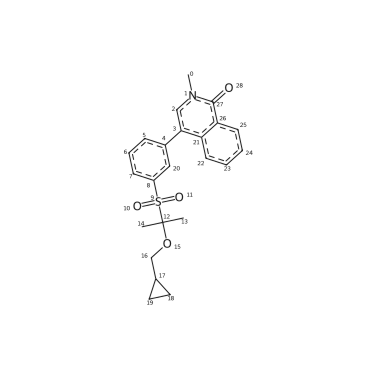 Cn1cc(-c2cccc(S(=O)(=O)C(C)(C)OCC3CC3)c2)c2ccccc2c1=O